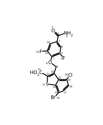 NC(=O)c1cc(F)c(OCc2c(C(=O)O)sc3c(Br)ccc(Cl)c23)c(F)c1